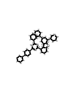 c1ccc(-c2ccc(-c3nc(-c4ccccc4)nc(-c4cccc5oc6c(-c7cccnc7)cc(-c7cccnc7)cc6c45)n3)cc2)cc1